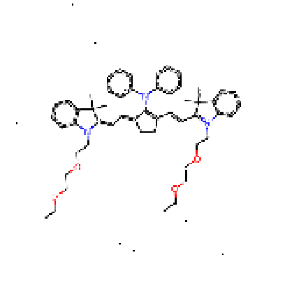 CCOCCOCCN1/C(=C/C=C2\CCC(/C=C/C3=[N+](CCOCCOCC)c4ccccc4C3(C)C)=C2N(c2ccccc2)c2ccccc2)C(C)(C)c2ccccc21